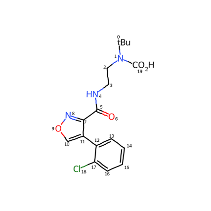 CC(C)(C)N(CCNC(=O)c1nocc1-c1ccccc1Cl)C(=O)O